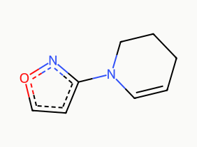 C1=CN(c2ccon2)CCC1